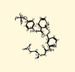 CN(C)CCN(C)CC(=O)Nc1cc(CSc2ncccc2C(=O)Nc2ccc(OC(F)(F)F)cc2)ccn1